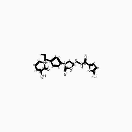 CCC(c1ccc(N2C[C@H](CNC(=O)c3ccc(Cl)s3)OC2=O)cc1)n1cccc(O)c1=O